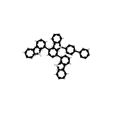 c1ccc(-c2ccc(-n3c4ccccc4c4c(-c5cccc6c5oc5ccccc56)ccc(-c5cccc6c5oc5ccccc56)c43)cc2)cc1